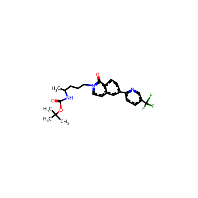 CC(CCCn1ccc2cc(-c3ccc(C(F)(F)F)cn3)ccc2c1=O)NC(=O)OC(C)(C)C